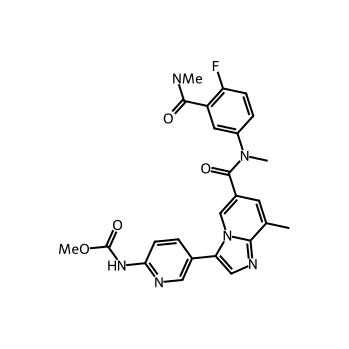 CNC(=O)c1cc(N(C)C(=O)c2cc(C)c3ncc(-c4ccc(NC(=O)OC)nc4)n3c2)ccc1F